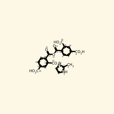 Cc1ncc[nH]1.O=C(O)c1ccc(C(=O)OC(=O)c2ccc(C(=O)O)cc2C(=O)O)c(C(=O)O)c1